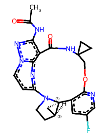 CC(=O)Nc1nn2ccc3nc2c1C(=O)NC1(CC1)COc1ncc(F)cc1[C@@]12C[C@@H]1CCN32